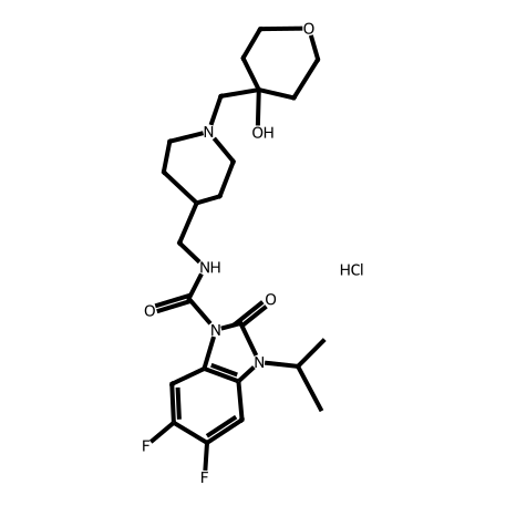 CC(C)n1c(=O)n(C(=O)NCC2CCN(CC3(O)CCOCC3)CC2)c2cc(F)c(F)cc21.Cl